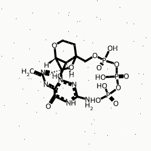 C=C/N=c1/c(=O)[nH]c(N)nn1[C@]1(C#N)OC2(COP(=O)(O)OP(=O)(O)OP(=O)(O)O)CCO[C@@H]1[C@@H]2O